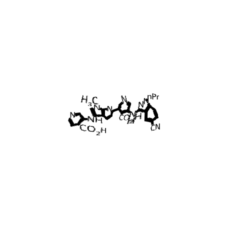 CCCn1nc(Nc2cncc(-c3ccc4c(Nc5cnccc5C(=O)O)cn(C)c4n3)c2C(=O)O)c2cc(C#N)ccc21